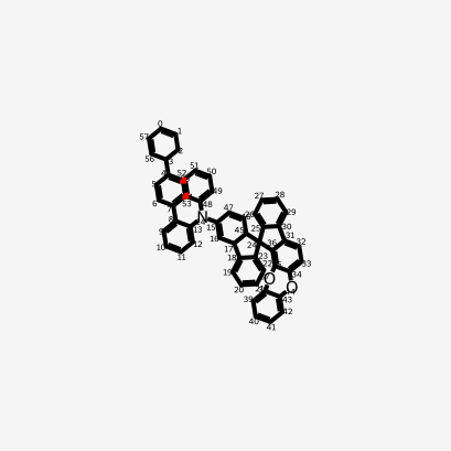 C1=CCC(c2ccc(-c3ccccc3N(C3=CC4c5ccccc5C5(c6ccccc6-c6ccc7c(c65)Oc5ccccc5O7)C4C=C3)c3ccccc3)cc2)C=C1